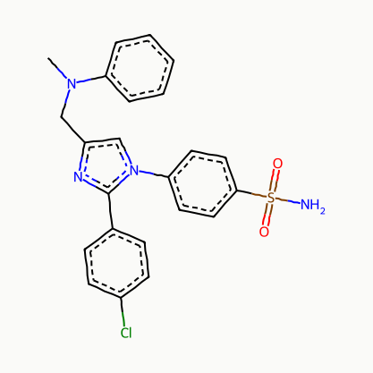 CN(Cc1cn(-c2ccc(S(N)(=O)=O)cc2)c(-c2ccc(Cl)cc2)n1)c1ccccc1